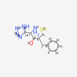 NC(C(=O)C(CS)Cc1ccccc1)c1nnn[nH]1